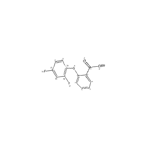 COC(=O)c1ccccc1Oc1ccc(F)cc1F